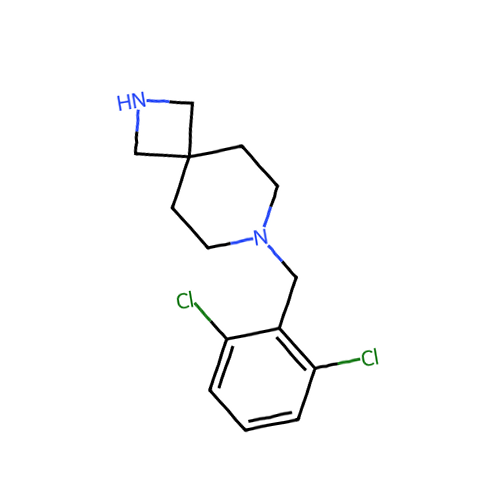 Clc1cccc(Cl)c1CN1CCC2(CC1)CNC2